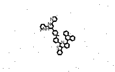 C[C@H]1C=CC=C(c2cc(C3=CCC(C)(c4cccc(-c5nc6c(-c7cc8ccccc8c8ccccc78)cccc6c6c5sc5ccccc56)c4)C=C3)cc(-c3ccccn3)n2)N1